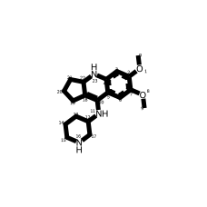 COc1cc2c(cc1OC)C(NC1CCCNC1)=C1CCCC1N2